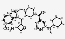 CN(c1cc(C(=O)N2CCN(Cc3nc4ccc(C(=O)O)cc4n3CC3CCO3)CC2)ncn1)C1CCCCC1